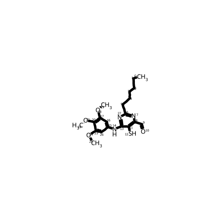 CCCCCCc1nc(C=O)c(S)c(Nc2cc(OC)c(OC)c(OC)c2)n1